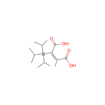 C/C(C(=O)O)=C(/C(=O)O)[Si](C(C)C)(C(C)C)C(C)C